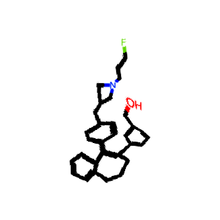 OCc1cccc(C2=C(c3ccc(CC4CN(CCCF)C4)cc3)c3ccccc3CCC2)c1